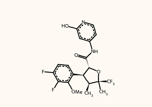 COc1c([C@H]2[C@H](C(=O)Nc3ccnc(O)c3)O[C@@](C)(C(F)(F)F)[C@H]2C)ccc(F)c1F